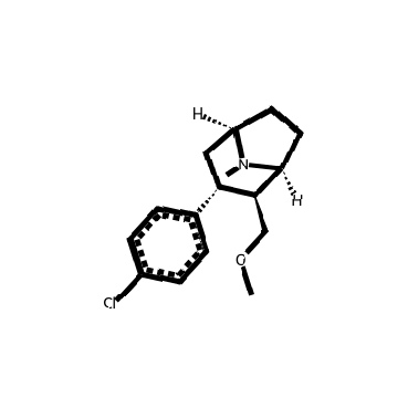 COC[C@H]1[C@H](c2ccc(Cl)cc2)C[C@H]2CC[C@@H]1N2C